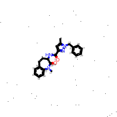 Cc1cc(C(=O)NC2CCc3ccccc3N(C)C2=O)nn1Cc1ccccc1